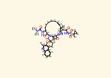 CCN(CC)C(=O)N[C@H]1CCCCC/C=C\[C@@H]2C(C(=O)NS(=O)(=O)C3(C)CC3)[C@]2(I)NC(=O)[C@@H]2C[C@]3(CCc4c(c(C)nc5ccccc45)O3)CN2C1=O